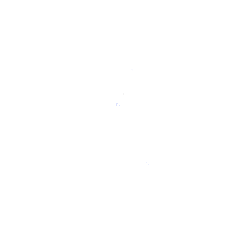 Cc1ccc2c(N)c(C(=O)NCCc3ccc(N4CC5CCC(C4)N5)cc3)sc2n1